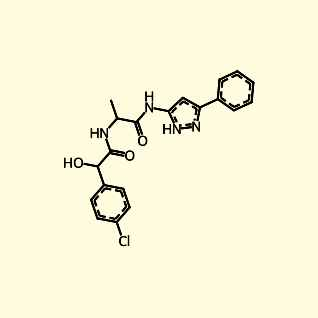 CC(NC(=O)C(O)c1ccc(Cl)cc1)C(=O)Nc1cc(-c2ccccc2)n[nH]1